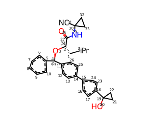 CC(C)C[C@H](O[C@H](c1ccccc1)c1ccc(-c2ccc(C3(O)CC3)cc2)cc1)C(=O)NC1(C#N)CC1